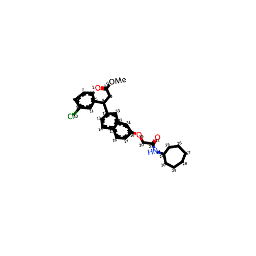 COC(=O)CC(c1cccc(Cl)c1)c1ccc2ccc(OCC(=O)NC3CCCCCC3)cc2c1